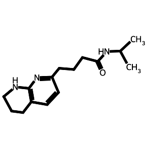 CC(C)NC(=O)CCCc1ccc2c(n1)NCCC2